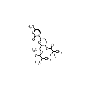 CC(C)C(=O)OC[C@@H](O[C@H](CF)n1ccc(N)nc1=O)[C@@H](C)OC(=O)C(C)C